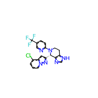 FC(F)(F)c1ccc(N2CCc3[nH]cnc3[C@@H]2c2cc3c(Cl)cccn3n2)nc1